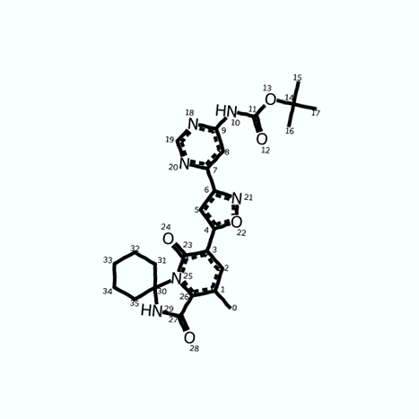 Cc1cc(-c2cc(-c3cc(NC(=O)OC(C)(C)C)ncn3)no2)c(=O)n2c1C(=O)NC21CCCCC1